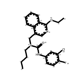 CCCCN(Cc1cnc(OCC)c2ccccc12)C(=O)Nc1ccc(F)c(Cl)c1